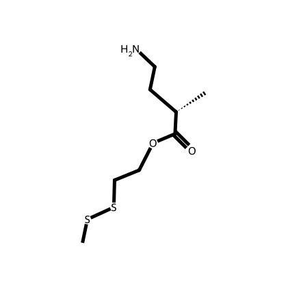 CSSCCOC(=O)[C@@H](C)CCN